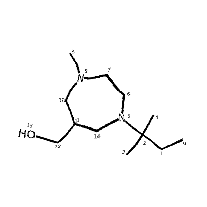 CCC(C)(C)N1CCN(C)CC(CO)C1